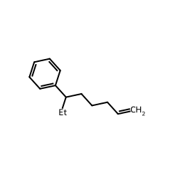 C=CCCCC(CC)c1ccccc1